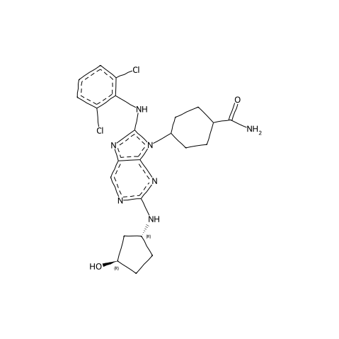 NC(=O)C1CCC(n2c(Nc3c(Cl)cccc3Cl)nc3cnc(N[C@@H]4CC[C@@H](O)C4)nc32)CC1